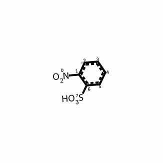 O=[N+]([O-])c1[c]cccc1S(=O)(=O)O